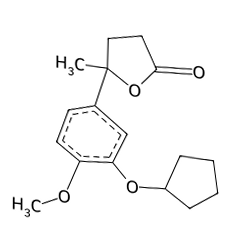 COc1ccc(C2(C)CCC(=O)O2)cc1OC1CCCC1